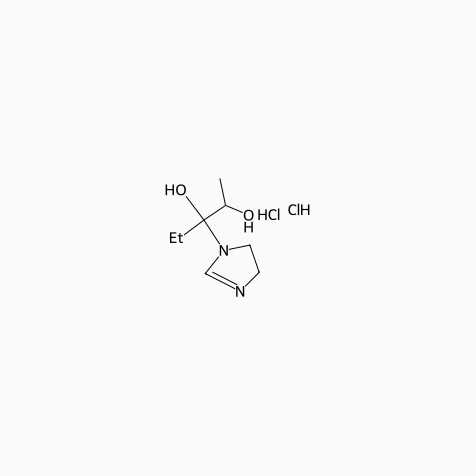 CCC(O)(C(C)O)N1C=NCC1.Cl.Cl